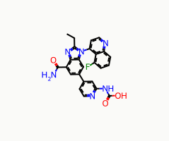 CCc1nc2c(C(N)=O)cc(-c3ccnc(NC(=O)O)c3)cc2n1-c1ccnc2cccc(F)c12